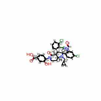 C[C@@]1(c2ccc(Cl)cc2NC=O)[C@@H](c2cccc(Cl)c2F)[C@@H]2C(=O)N(c3ccc(C(=O)O)cc3O)CC[C@@H]2N1CC1CC1